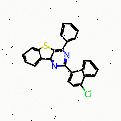 Clc1ccc(-c2nc(-c3ccccc3)c3sc4ccccc4c3n2)c2ccccc12